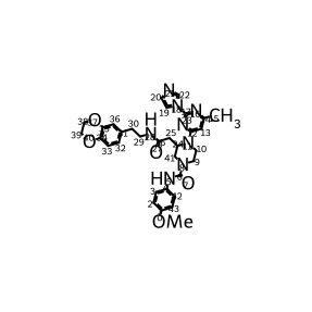 COc1ccc(NC(=O)N2CCN(c3cc(C)nc(-n4ccnc4)n3)C(CC(=O)NCCc3ccc4c(c3)OCCO4)C2)cc1